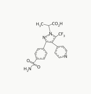 CC(C(=O)O)n1nc(-c2ccc(S(N)(=O)=O)cc2)c(-c2ccncc2)c1C(F)(F)F